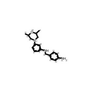 CC1CN(c2cccc(NCc3ccc(N)cc3)c2)CC(C)O1